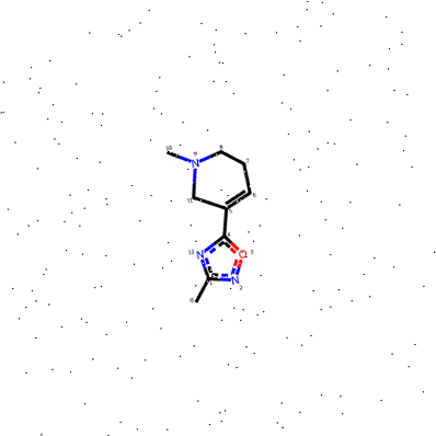 Cc1noc(C2=CCCN(C)C2)n1